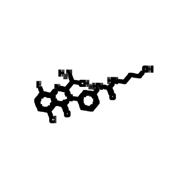 CC(N)c1nc2c(F)ccc(Cl)c2c(=O)n1-c1cccc(NC(=O)NCCCO)c1